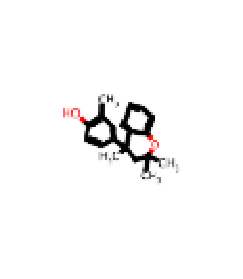 Cc1cc(C2(C)CC(C)(C)Oc3ccccc32)ccc1O